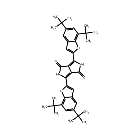 CC(C)(C)c1cc(C(C)(C)C)c2oc(C3=C4C(=O)NC(c5cc6cc(C(C)(C)C)cc(C(C)(C)C)c6o5)=C4C(=O)N3)cc2c1